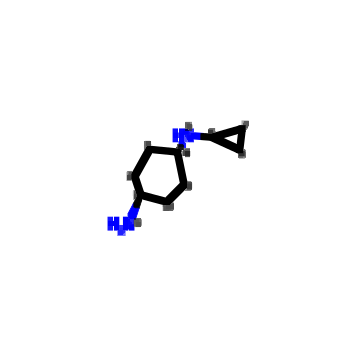 N[C@H]1CC[C@H](NC2CC2)CC1